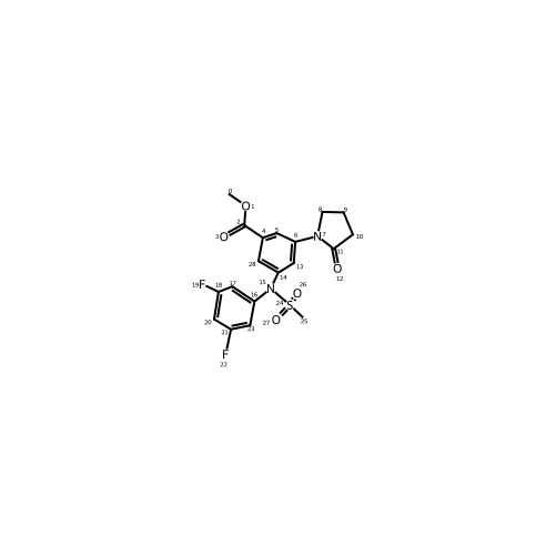 COC(=O)c1cc(N2CCCC2=O)cc(N(c2cc(F)cc(F)c2)S(C)(=O)=O)c1